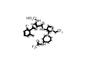 O=C(O)Nc1sc(-c2c(F)cccc2F)nc1C(=O)Nc1cnn(CC(F)(F)F)c1N1CCCC(NC(=O)C(F)(F)F)CC1